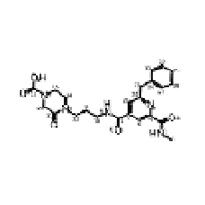 CNC(=O)c1cc(C(=O)NCCCN2CCN(C(=O)O)CC2=O)cc(Cc2ccccc2)n1